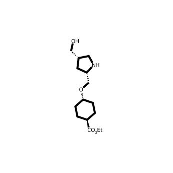 CCOC(=O)[C@H]1CC[C@H](OC[C@@H]2C[C@H](CO)CN2)CC1